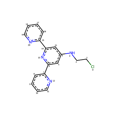 ClCCNc1cc(-c2ccccn2)nc(-c2ccccn2)c1